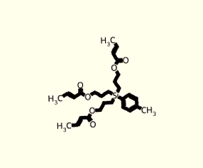 CC=CC(=O)OCCC[Si](CCCOC(=O)C=CC)(CCCOC(=O)C=CC)c1ccc(C)cc1